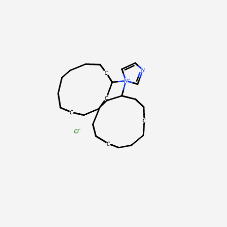 C1=C[N+](C2CCCCCCCCCCC2)(C2CCCCCCCCCCC2)C=N1.[Cl-]